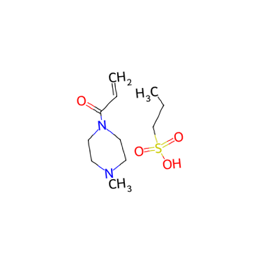 C=CC(=O)N1CCN(C)CC1.CCCS(=O)(=O)O